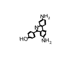 Nc1ccc2c(c1)nc(-c1ccc(O)cc1)c1cc(N)ccc12